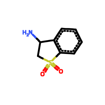 NC1CS(=O)(=O)c2ccccc21